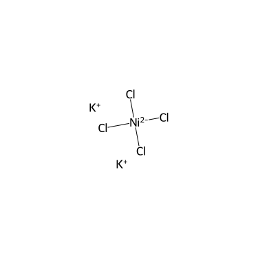 [Cl][Ni-2]([Cl])([Cl])[Cl].[K+].[K+]